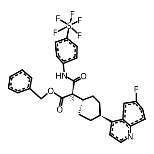 O=C(Nc1ccc(S(F)(F)(F)(F)F)cc1)[C@H](C(=O)OCc1ccccc1)[C@H]1CC[C@H](c2ccnc3ccc(F)cc32)CC1